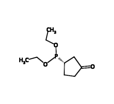 CCOP(OCC)[C@H]1CCC(=O)C1